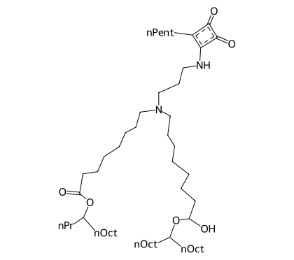 CCCCCCCCC(CCC)OC(=O)CCCCCCCN(CCCCCCCC(O)OC(CCCCCCCC)CCCCCCCC)CCCNc1c(CCCCC)c(=O)c1=O